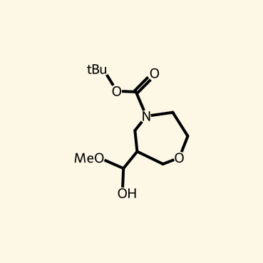 COC(O)C1COCCN(C(=O)OC(C)(C)C)C1